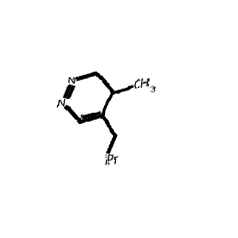 CC(C)CC1=CN=NCC1C